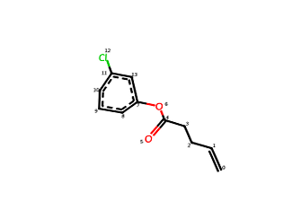 C=CCCC(=O)Oc1cccc(Cl)c1